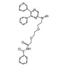 CC(C)N(CCOCCOCC(=O)N[S+]([O-])c1ccccc1)c1cnc(-c2ccccc2)c(-c2ccccc2)n1